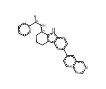 C[C@@H](N[C@@H]1CCCc2c1[nH]c1ccc(-c3ccc4ccncc4c3)cc21)c1ccccc1